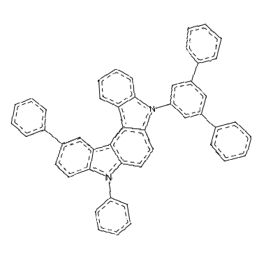 c1ccc(-c2cc(-c3ccccc3)cc(-n3c4ccccc4c4c5c6cc(-c7ccccc7)ccc6n(-c6ccccc6)c5ccc43)c2)cc1